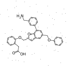 NCc1cccc(-c2cc(COc3ccccc3)cc3cc(COc4ccccc4CC(=O)O)oc23)c1